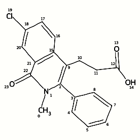 Cn1c(-c2ccccc2)c(CCC(=O)O)c2ccc(Cl)cc2c1=O